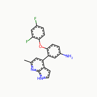 Cc1cc(-c2cc(N)ccc2Oc2ccc(F)cc2F)c2cc[nH]c2n1